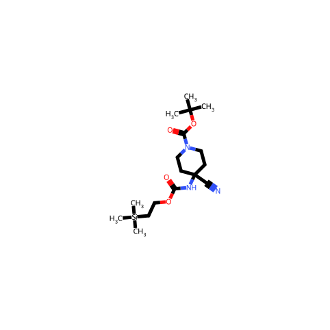 CC(C)(C)OC(=O)N1CCC(C#N)(NC(=O)OCC[Si](C)(C)C)CC1